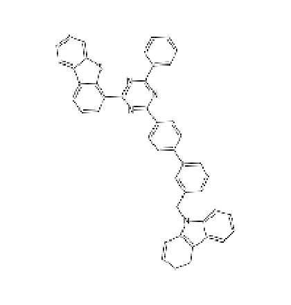 C1=Cc2c(c3ccccc3n2Cc2cccc(-c3ccc(-c4nc(-c5ccccc5)nc(-c5cccc6c5sc5ccccc56)n4)cc3)c2)CC1